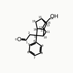 O=CCC1(c2ccccc2)C2CCC(O)C3CC2C1C3